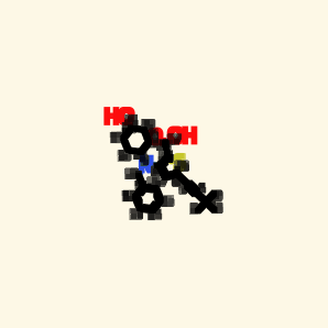 CC(C)(C)C#Cc1cc(N(Cc2ccccc2)[C@H]2CC[C@@H](O)CC2)c(C(=O)O)s1